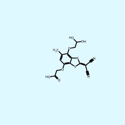 Cc1cc(OCC(=O)O)c2c(c1OCC(O)O)SC(=C(C#N)C#N)S2